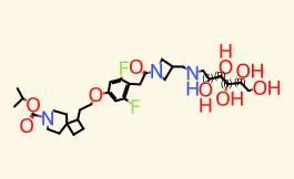 CC(C)OC(=O)N1CCC2(CCC2CCOc2cc(F)c(CC(=O)N3CC(CNC[C@H](O)[C@@H](O)[C@H](O)[C@H](O)CO)C3)c(F)c2)CC1